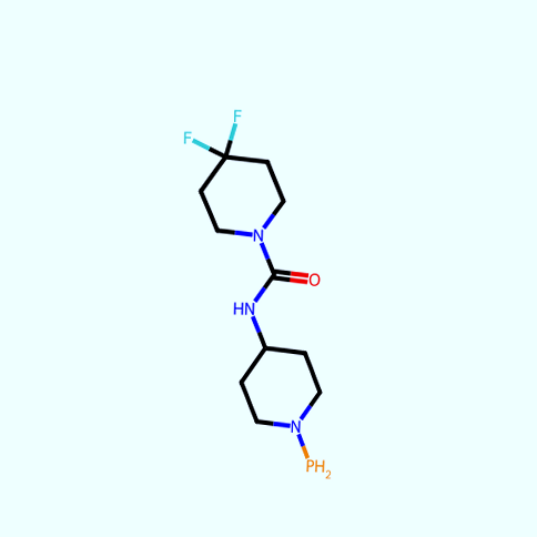 O=C(NC1CCN(P)CC1)N1CCC(F)(F)CC1